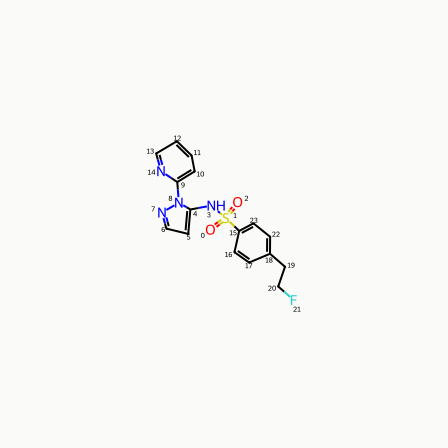 O=S(=O)(Nc1ccnn1-c1ccccn1)c1ccc(CCF)cc1